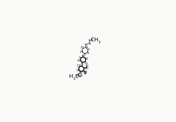 CCCCC1CCC(c2ccc(-c3ccc(OC)c(F)c3F)cc2)CC1